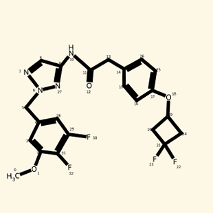 COc1cc(Cn2ncc(NC(=O)Cc3ccc(OC4CC(F)(F)C4)cc3)n2)cc(F)c1F